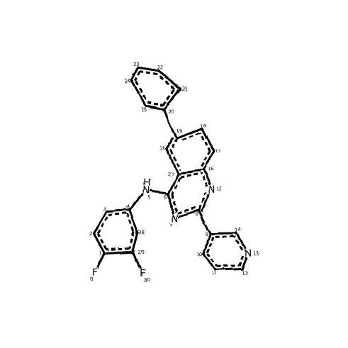 Fc1ccc(Nc2nc(-c3cccnc3)nc3ccc(-c4ccccc4)cc23)cc1F